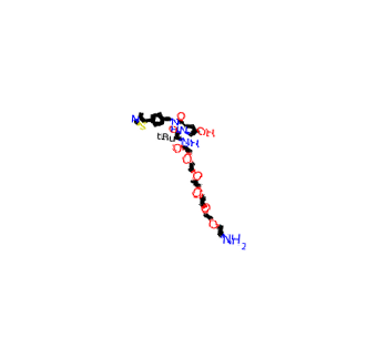 Cc1ncsc1-c1ccc(CNC(=O)[C@H]2C[C@H](O)CN2C(=O)[C@H](NC(=O)COCCOCCOCCOCCOCCN)C(C)(C)C)cc1